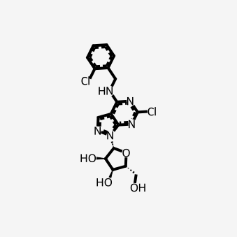 OC[C@H]1O[C@@H](n2ncc3c(NCc4ccccc4Cl)nc(Cl)nc32)[C@H](O)[C@@H]1O